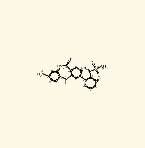 CN(c1ncccc1-c1ccc2c(c1)Nc1ccc(N)cc1NC2=O)S(C)(=O)=O